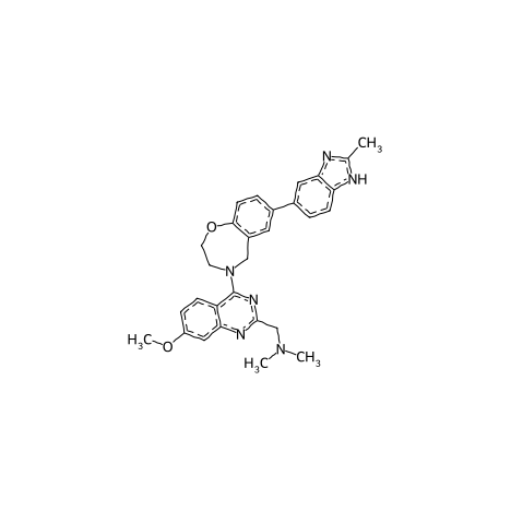 COc1ccc2c(N3CCOc4ccc(-c5ccc6[nH]c(C)nc6c5)cc4C3)nc(CN(C)C)nc2c1